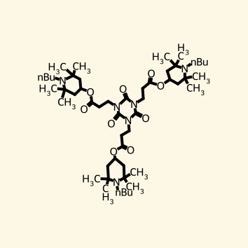 CCCCN1C(C)(C)CC(OC(=O)CCn2c(=O)n(CCC(=O)OC3CC(C)(C)N(CCCC)C(C)(C)C3)c(=O)n(CCC(=O)OC3CC(C)(C)N(CCCC)C(C)(C)C3)c2=O)CC1(C)C